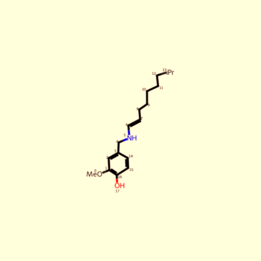 COc1cc(CNC=CCCCCCC(C)C)ccc1O